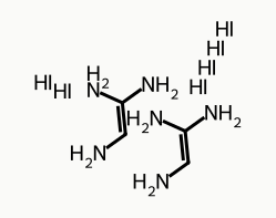 I.I.I.I.I.I.NC=C(N)N.NC=C(N)N